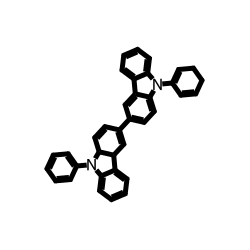 C1=CC(n2c3ccccc3c3cc(C4=CC5c6ccccc6N(c6ccccc6)C5C=C4)ccc32)=CCC1